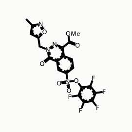 COC(=O)c1nn(Cc2cc(C)no2)c(=O)c2cc(S(=O)(=O)Oc3c(F)c(F)c(F)c(F)c3F)ccc12